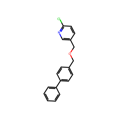 Clc1ccc(COCc2ccc(-c3ccccc3)cc2)cn1